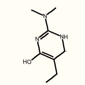 CCC1=C(O)N=C(N(C)C)N[CH]1